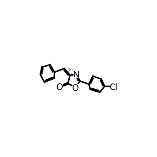 O=C1OC(c2ccc(Cl)cc2)=N/C1=C/c1ccccc1